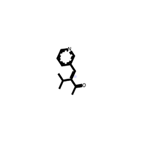 CC(=O)/C(=C/c1cccnc1)C(C)C